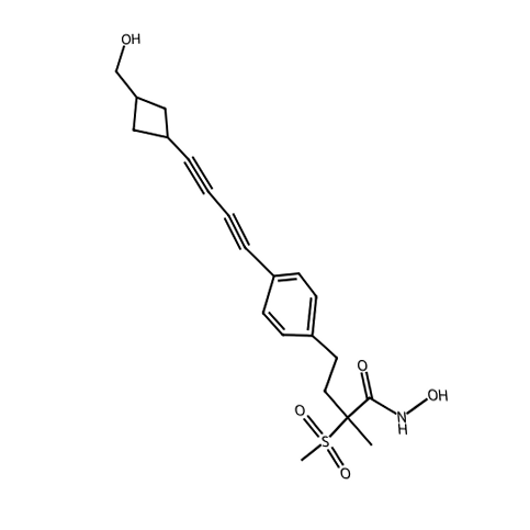 CC(CCc1ccc(C#CC#CC2CC(CO)C2)cc1)(C(=O)NO)S(C)(=O)=O